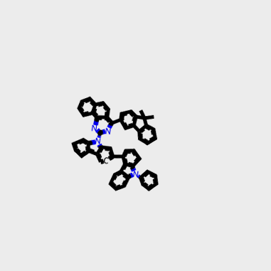 CC1(C)c2ccccc2-c2cc(-c3nc(-n4c5ccccc5c5ccc(-c6cccc7c6c6ccccc6n7-c6ccccc6)cc54)nc4c3ccc3ccccc34)ccc21